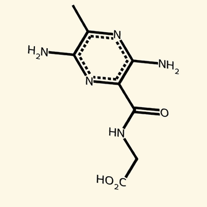 Cc1nc(N)c(C(=O)NCC(=O)O)nc1N